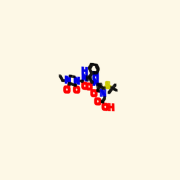 CCN1CCN(C(=O)N[C@@H](C(=O)N[C@@H]2C(=O)N(CC(=O)O)C2SC(C)(C)C)c2ccccc2)C(=O)C1=O